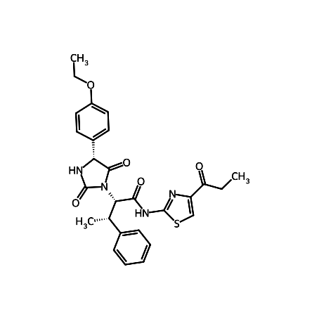 CCOc1ccc([C@H]2NC(=O)N([C@H](C(=O)Nc3nc(C(=O)CC)cs3)[C@@H](C)c3ccccc3)C2=O)cc1